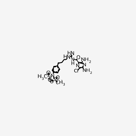 CS(=O)(=O)N(c1ccc(CCCCNC(=N)NC(=O)c2nc(Cl)c(N)nc2N)cc1)S(C)(=O)=O